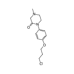 CN1CCN(c2ccc(OCCCCl)cc2)C(=O)C1